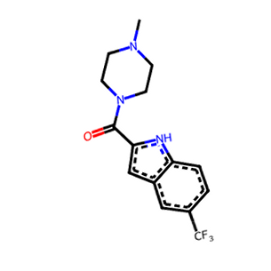 CN1CCN(C(=O)c2cc3cc(C(F)(F)F)ccc3[nH]2)CC1